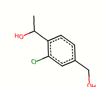 CC(O)c1ccc(CO)cc1Cl